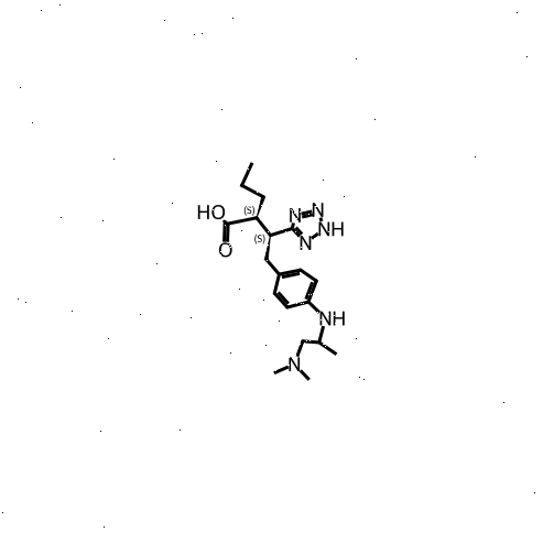 CCC[C@H](C(=O)O)[C@H](Cc1ccc(NC(C)CN(C)C)cc1)c1nn[nH]n1